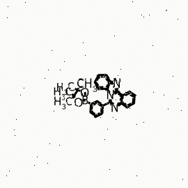 CC1(C)OB(c2cccc(-c3nc4ccccc4c4nc5ccccc5n34)c2)OC1(C)C